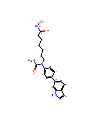 CNC(=O)N(CCCCCCC(=O)NO)c1ccc(-c2ccc3cc[nH]c3c2)cc1